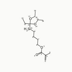 C=C(C)C(=O)OCCCC[SiH2]C(CC)(OCC)OCC